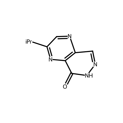 CC(C)c1cnc2cn[nH]c(=O)c2n1